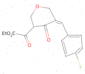 CCOC(=O)C(=O)C1COCC(=Cc2ccc(F)cc2)C1=O